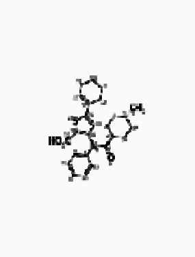 C[C@H]1CC[C@H](C(=O)N(c2ccccc2)c2cc(C3=CCCCC3)sc2C(=O)O)CC1